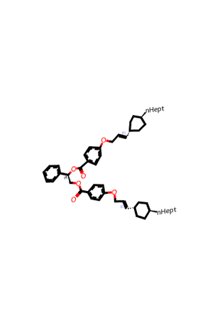 CCCCCCC[C@H]1CC[C@H](/C=C/COc2ccc(C(=O)OC[C@H](OC(=O)c3ccc(OC/C=C/[C@H]4CC[C@H](CCCCCCC)CC4)cc3)c3ccccc3)cc2)CC1